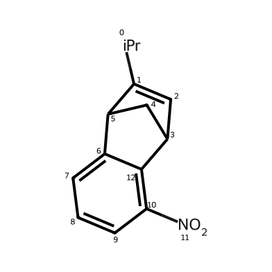 CC(C)C1=CC2CC1c1cccc([N+](=O)[O-])c12